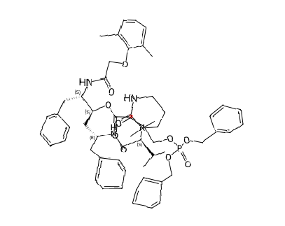 Cc1cccc(C)c1OCC(=O)N[C@@H](Cc1ccccc1)[C@H](C[C@@H](Cc1ccccc1)NC(=O)[C@H](C(C)C)N1CCCNC1=O)OC(=O)CC(C)(C)COP(=O)(OCc1ccccc1)OCc1ccccc1